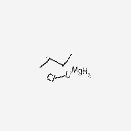 C[CH]CC.[Li][Cl].[MgH2]